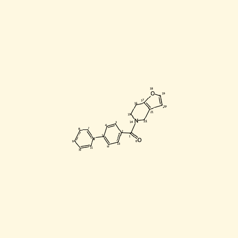 O=C(c1ccc(-c2ccccc2)cc1)N1CCc2occc2C1